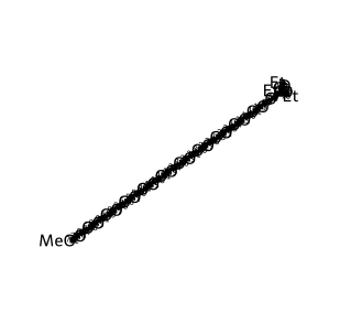 CCO[Si](CCCOCCOCCOCCOCCOCCOCCOCCOCCOCCOCCOCCOCCOCCOCCOCCOCCOCCOCCOCCOCCOCCOCCOC)(OCC)OCC